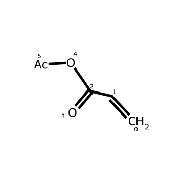 C=CC(=O)OC(C)=O